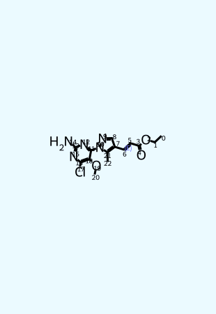 CCOC(=O)/C=C/c1cnn(-c2nc(N)nc(Cl)c2OC)c1C